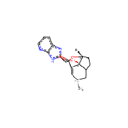 C[C@@H]1C=C2C(=O)O[C@@H]3CCC(C1)[C@]23OCc1nc2cccnc2[nH]1